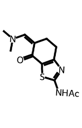 CC(=O)Nc1nc2c(s1)C(=O)/C(=C\N(C)C)CC2